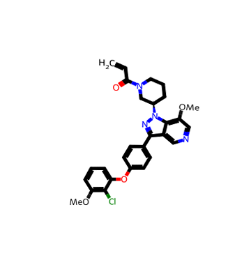 C=CC(=O)N1CCC[C@@H](n2nc(-c3ccc(Oc4cccc(OC)c4Cl)cc3)c3cncc(OC)c32)C1